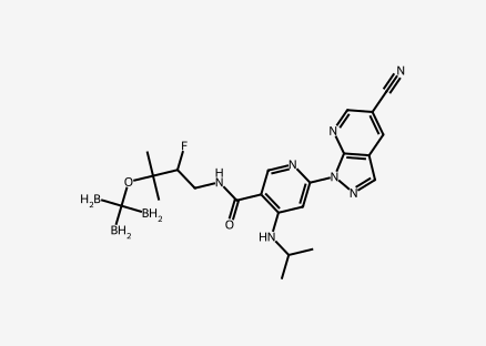 BC(B)(B)OC(C)(C)C(F)CNC(=O)c1cnc(-n2ncc3cc(C#N)cnc32)cc1NC(C)C